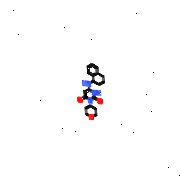 O=c1cc(NC2CCCc3ccccc32)[nH]c(=O)n1C1CCOCC1